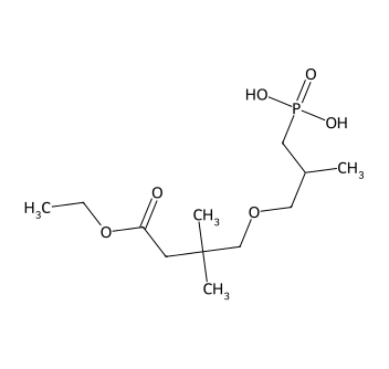 CCOC(=O)CC(C)(C)COCC(C)CP(=O)(O)O